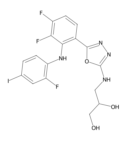 OCC(O)CNc1nnc(-c2ccc(F)c(F)c2Nc2ccc(I)cc2F)o1